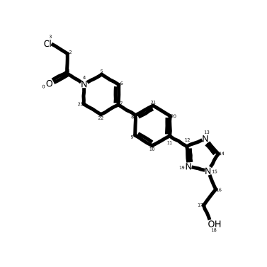 O=C(CCl)N1CC=C(c2ccc(-c3ncn(CCO)n3)cc2)CC1